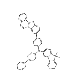 CC1(C)c2ccccc2-c2cc(N(c3ccc(-c4ccccc4)cc3)c3ccc(-c4ccc5sc6c7ccccc7ccc6c5c4)cc3)ccc21